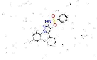 Cc1cc(C)c(-n2nc(NS(=O)(=O)c3ccccc3)cc2C2CCCCC2)c(C)c1